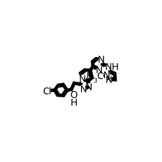 Cn1nccc1Nc1nccc(-c2ccn3c(C[C@H](O)c4ccc(Cl)cc4)nnc3c2)n1